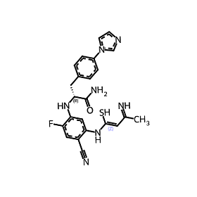 CC(=N)/C=C(\S)Nc1cc(N[C@H](Cc2ccc(-n3ccnc3)cc2)C(N)=O)c(F)cc1C#N